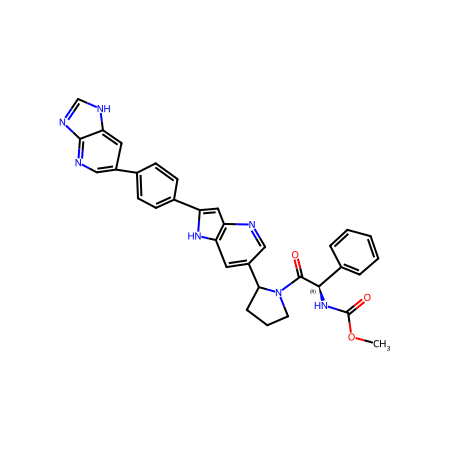 COC(=O)N[C@@H](C(=O)N1CCCC1c1cnc2cc(-c3ccc(-c4cnc5nc[nH]c5c4)cc3)[nH]c2c1)c1ccccc1